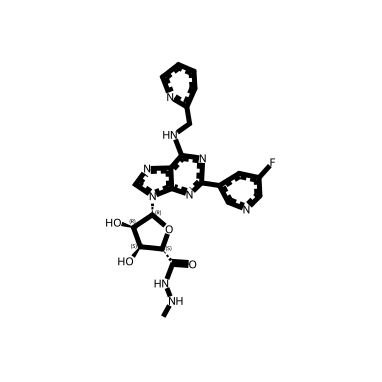 CNNC(=O)[C@H]1O[C@@H](n2cnc3c(NCc4ccccn4)nc(-c4cncc(F)c4)nc32)[C@H](O)[C@@H]1O